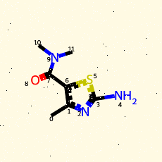 Cc1nc(N)sc1C(=O)N(C)C